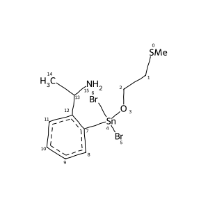 CSCC[O][Sn]([Br])([Br])[c]1ccccc1C(C)N